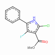 COC(=O)c1c(Cl)[nH]c(-c2ccccc2)c1F